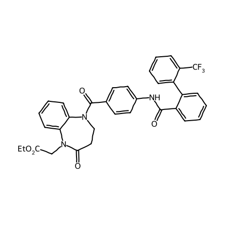 CCOC(=O)CN1C(=O)CCN(C(=O)c2ccc(NC(=O)c3ccccc3-c3ccccc3C(F)(F)F)cc2)c2ccccc21